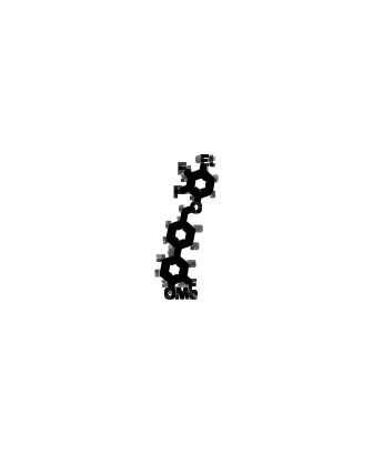 CCc1ccc(OCc2ccc(-c3ccc(OC)c(F)c3)cc2)c(F)c1F